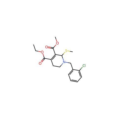 CCOC(=O)C1=C(C(=O)OC)C(SC)N(Cc2ccccc2Cl)CC1